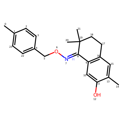 Cc1ccc(CO/N=C2/c3cc(O)c(C)cc3CCC2(C)C)cc1